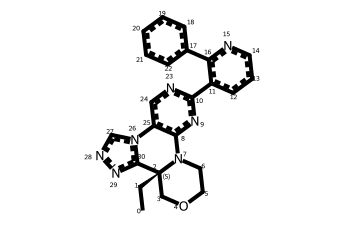 CC[C@]12COCCN1c1nc(-c3cccnc3-c3ccccc3)ncc1-n1cnnc12